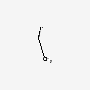 [C]#CC#CC#CCCCCCCCCCCCCC